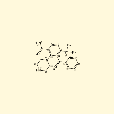 NC(=O)c1ccc(C(F)(F)F)c(C(=O)c2ccccc2)c1N1CCNCC1